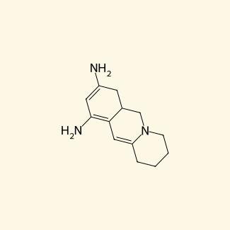 NC1=CC(N)=C2C=C3CCCCN3CC2C1